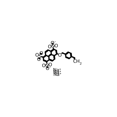 C=Cc1ccc(COc2cc(S(=O)(=O)[O-])c3ccc4c(S(=O)(=O)[O-])cc(S(=O)(=O)[O-])c5ccc2c3c54)cc1.[Na+].[Na+].[Na+]